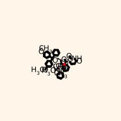 COc1ccc(C(OC[C@H]2O[C@@H](n3ccc(=O)[nH]c3=O)[C@H](OC)[C@@H]2O[Si](c2ccccc2)(c2ccccc2)C(C)(C)C)(c2ccccc2)c2ccc(OC)cc2)cc1